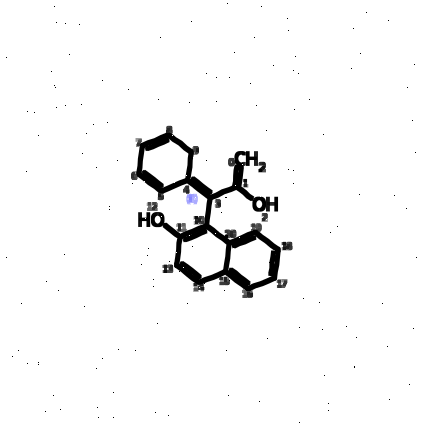 C=C(O)/C(=C1/C=CC=CC1)c1c(O)ccc2ccccc12